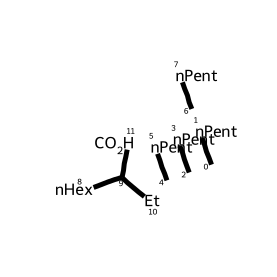 CCCCCC.CCCCCC.CCCCCC.CCCCCC.CCCCCCC(CC)C(=O)O